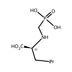 CC(C)C[C@H](NCP(=O)(O)O)C(=O)O